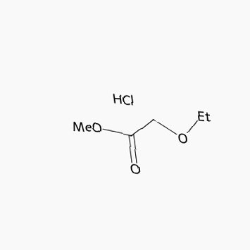 CCOCC(=O)OC.Cl